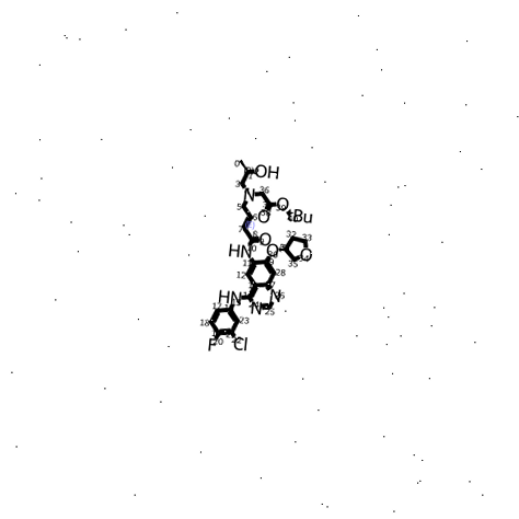 C[C@@H](O)CN(C/C=C/C(=O)Nc1cc2c(Nc3ccc(F)c(Cl)c3)ncnc2cc1O[C@H]1CCOC1)CC(=O)OC(C)(C)C